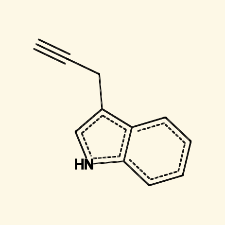 C#CCc1c[nH]c2ccccc12